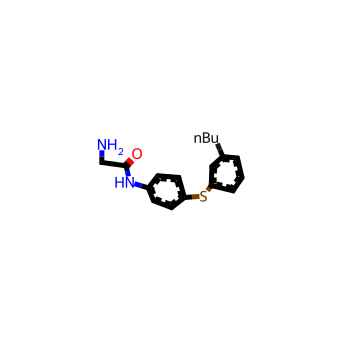 CCCCc1cccc(Sc2ccc(NC(=O)CN)cc2)c1